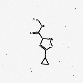 CSNC(=O)C1C=C(C2CC2)ON1